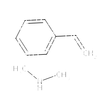 C=Cc1ccccc1.CNC